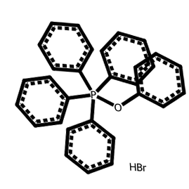 Br.c1ccc(OP(c2ccccc2)(c2ccccc2)(c2ccccc2)c2ccccc2)cc1